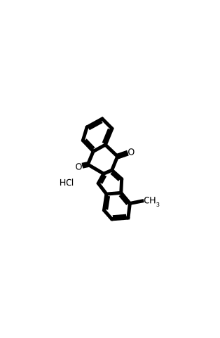 Cc1cccc2cc3c(cc12)C(=O)c1ccccc1C3=O.Cl